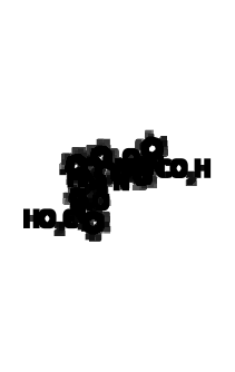 O=C(O)N[C@@H]1CCCC[C@H]1C(=O)N1CCC[C@H]1c1ncc(-c2cccc(-c3ccccc3)c2-c2cnc([C@@H]3CCCN3C(=O)[C@@H]3CCCC[C@H]3NC(=O)O)[nH]2)[nH]1